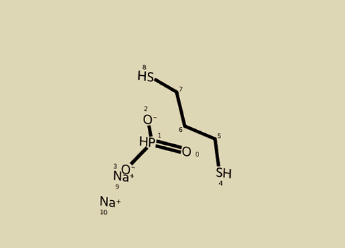 O=[PH]([O-])[O-].SCCCS.[Na+].[Na+]